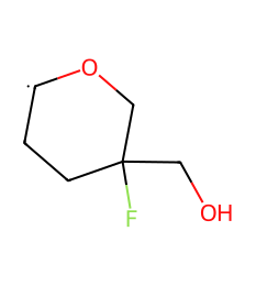 OCC1(F)CC[CH]OC1